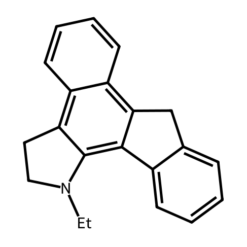 CCN1CCc2c1c1c(c3ccccc23)Cc2ccccc2-1